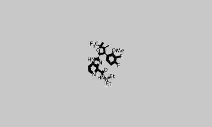 CCN(CC)NC(=O)c1nccc2[nH]c([C@@H]3O[C@@](C)(C(F)(F)F)[C@@H](C)[C@H]3c3ccc(F)c(F)c3OC)nc12